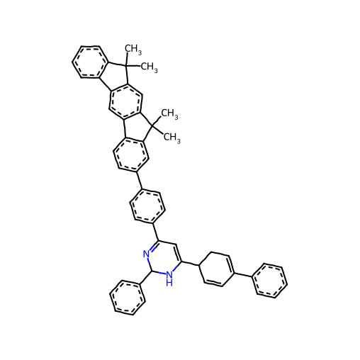 CC1(C)c2ccccc2-c2cc3c(cc21)C(C)(C)c1cc(-c2ccc(C4=NC(c5ccccc5)NC(C5C=CC(c6ccccc6)=CC5)=C4)cc2)ccc1-3